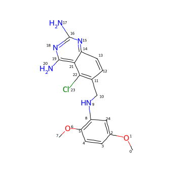 COc1ccc(OC)c(NCc2ccc3nc(N)nc(N)c3c2Cl)c1